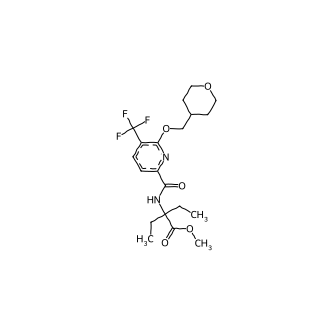 CCC(CC)(NC(=O)c1ccc(C(F)(F)F)c(OCC2CCOCC2)n1)C(=O)OC